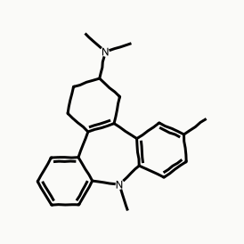 Cc1ccc2c(c1)C1=C(CCC(N(C)C)C1)c1ccccc1N2C